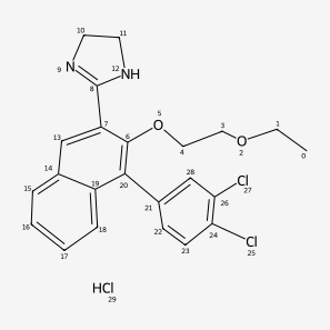 CCOCCOc1c(C2=NCCN2)cc2ccccc2c1-c1ccc(Cl)c(Cl)c1.Cl